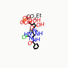 CCOC(=O)[C@@H](OCc1oc(N2CNC3=C(NC(=O)c4ccccc4)N=C(Cl)N[C@@H]32)c(O)c1O)P(=O)(O)O